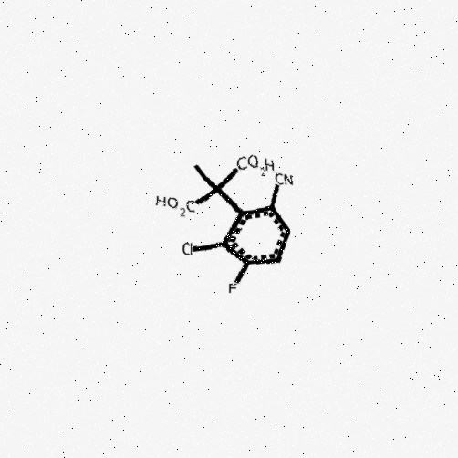 CC(C(=O)O)(C(=O)O)c1c(C#N)ccc(F)c1Cl